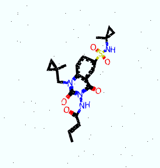 CC=CC(=O)Nn1c(=O)c2cc(S(=O)(=O)NC3(C)CC3)ccc2n(CC2(C)CC2)c1=O